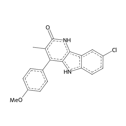 COc1ccc(-c2c(C)c(=O)[nH]c3c2[nH]c2ccc(Cl)cc23)cc1